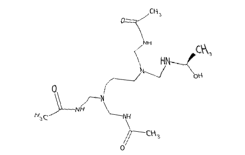 CC(=O)NCN(CCN(CNC(C)=O)CN[C@@H](C)O)CNC(C)=O